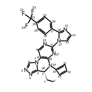 CC[C@@H]1c2nncn2-c2cnc(-n3ccnc3-c3ccc(C(F)(F)F)cc3)nc2N1C1=CC=C1